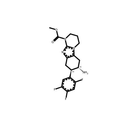 COC(=O)N1CCCn2c1nc1c2C[C@H](N)[C@@H](c2cc(F)c(F)cc2F)C1